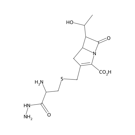 CC(O)C1C(=O)N2C(C(=O)O)=C(CSCC(N)C(=O)NN)CC12